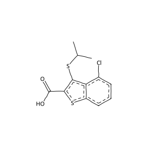 CC(C)Sc1c(C(=O)O)sc2cccc(Cl)c12